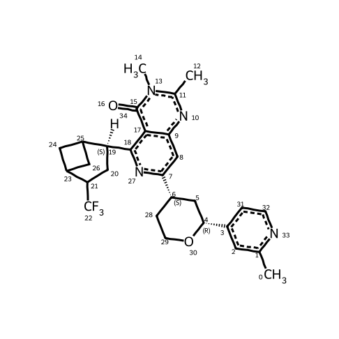 Cc1cc([C@H]2C[C@@H](c3cc4nc(C)n(C)c(=O)c4c([C@H]4CC(C(F)(F)F)C5CC4C5)n3)CCO2)ccn1